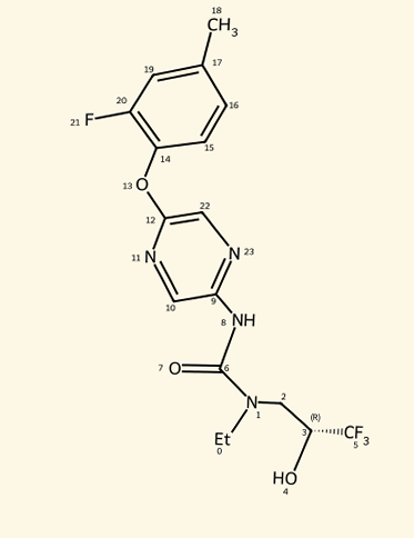 CCN(C[C@@H](O)C(F)(F)F)C(=O)Nc1cnc(Oc2ccc(C)cc2F)cn1